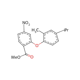 COC(=O)c1ccc([N+](=O)[O-])cc1Oc1ccc(C(C)C)cc1C